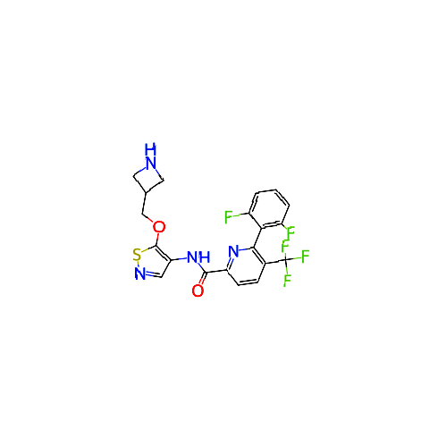 O=C(Nc1cnsc1OCC1CNC1)c1ccc(C(F)(F)F)c(-c2c(F)cccc2F)n1